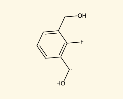 O[CH]c1cccc(CO)c1F